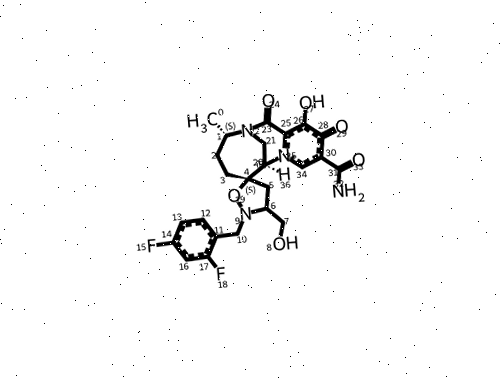 C[C@H]1CC[C@]2(CC(CO)N(Cc3ccc(F)cc3F)O2)[C@H]2CN1C(=O)c1c(O)c(=O)c(C(N)=O)cn12